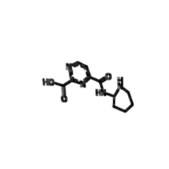 O=C(NC1CCCCN1)c1ccnc(C(=O)O)n1